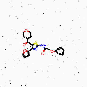 O=C(COc1ccccc1)Nc1nc(-c2ccco2)c(C(=O)C2CCOCC2)s1